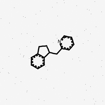 c1ccc(CC2CCc3ccccc32)nc1